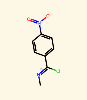 C/N=C(\Cl)c1ccc([N+](=O)[O-])cc1